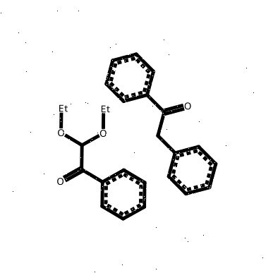 CCOC(OCC)C(=O)c1ccccc1.O=C(Cc1ccccc1)c1ccccc1